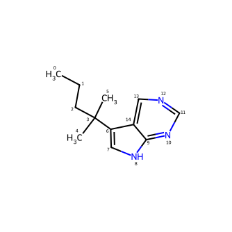 CCCC(C)(C)c1c[nH]c2ncncc12